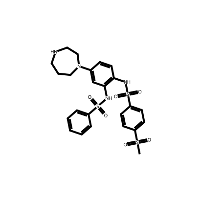 CS(=O)(=O)c1ccc(S(=O)(=O)Nc2ccc(N3CCCNCC3)cc2NS(=O)(=O)c2ccccc2)cc1